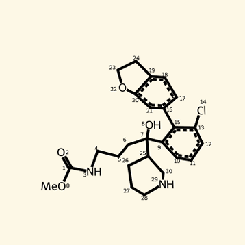 COC(=O)NCCCC(O)(c1cccc(Cl)c1-c1ccc2c(c1)OCC2)C1CCCNC1